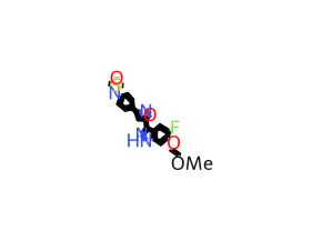 COCCOc1cc2[nH]nc(-c3cc(-c4ccc(N=S(C)(C)=O)cc4)no3)c2cc1F